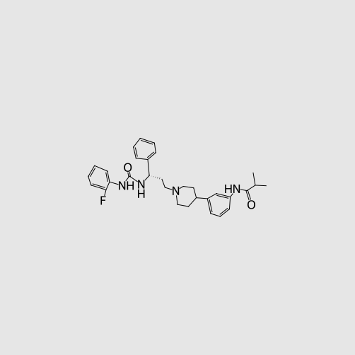 CC(C)C(=O)Nc1cccc(C2CCN(CC[C@H](NC(=O)Nc3ccccc3F)c3ccccc3)CC2)c1